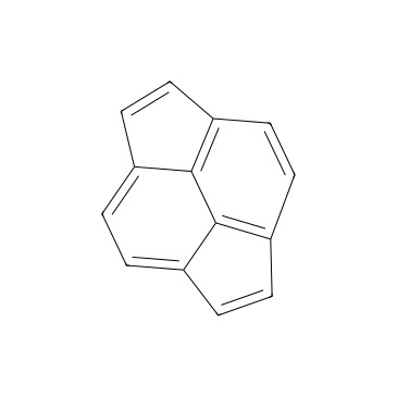 C1=Cc2ccc3c4c(ccc1c24)C=C3